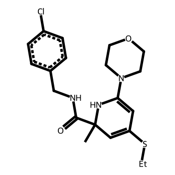 CCSC1=CC(C)(C(=O)NCc2ccc(Cl)cc2)NC(N2CCOCC2)=C1